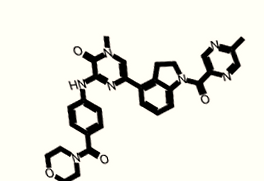 Cc1cnc(C(=O)N2CCc3c(-c4cn(C)c(=O)c(Nc5ccc(C(=O)N6CCOCC6)cc5)n4)cccc32)cn1